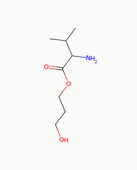 CC(C)C(N)C(=O)OCCCO